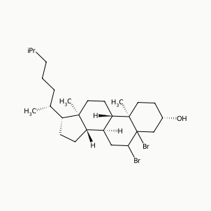 CC(C)CCC[C@@H](C)[C@H]1CC[C@H]2[C@@H]3CC(Br)C4(Br)C[C@@H](O)CC[C@]4(C)[C@H]3CC[C@]12C